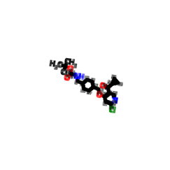 CC(C)(C)OC(=O)NCC1CCC(COc2cc(Cl)ncc2C(=O)C2CC2)CC1